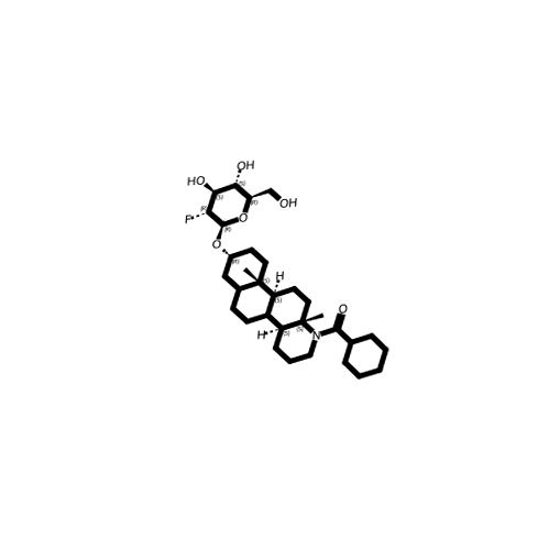 C[C@]12CC[C@@H](O[C@@H]3O[C@H](CO)[C@@H](O)[C@H](O)[C@H]3F)CC1CCC1[C@@H]2CC[C@@]2(C)[C@H]1CCCN2C(=O)C1CCCCC1